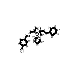 Clc1ccc(CSCC2COC(CCc3ccccc3)(Cn3ccnc3)O2)cc1